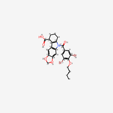 CCCCOc1c(Br)cc(C(=O)n2c3c(c4cc5c(cc42)OCO5)C(C(=O)O)CCC3)cc1Br